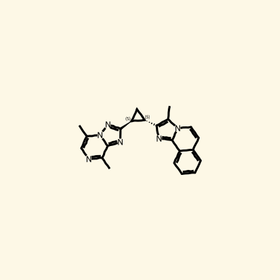 Cc1ncc(C)n2nc([C@H]3C[C@@H]3c3nc4c5ccccc5ccn4c3C)nc12